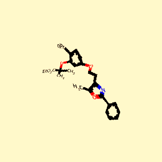 CCCc1ccc(OCCc2nc(-c3ccccc3)oc2C)cc1OC(C)(C)C(=O)OCC